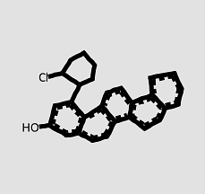 Oc1cc(C2CCCCC2Cl)c2c(ccc3c4ccc5ccccc5c4ccc32)c1